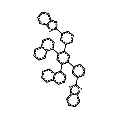 c1cc(-c2nc3ccccc3o2)cc(-c2cc(-c3cccc(-c4nc5ccccc5o4)c3)c(-c3cccc4ccccc34)nc2-c2cccc3ccccc23)c1